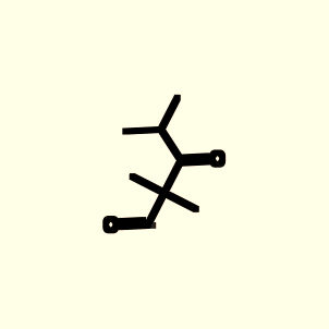 CC(C)C(=O)C(C)(C)[C]=O